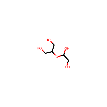 OCC(O)OC(CO)CO